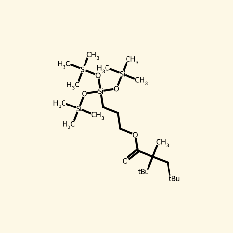 CC(C)(C)CC(C)(C(=O)OCCC[Si](O[Si](C)(C)C)(O[Si](C)(C)C)O[Si](C)(C)C)C(C)(C)C